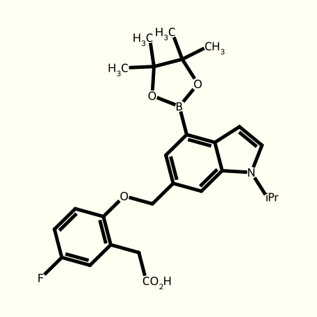 CC(C)n1ccc2c(B3OC(C)(C)C(C)(C)O3)cc(COc3ccc(F)cc3CC(=O)O)cc21